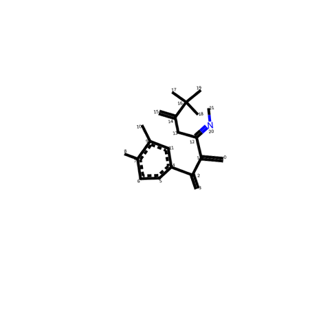 C=C(C(=C)c1ccc(C)c(C)c1)/C(CC(=C)C(C)(C)C)=N/C